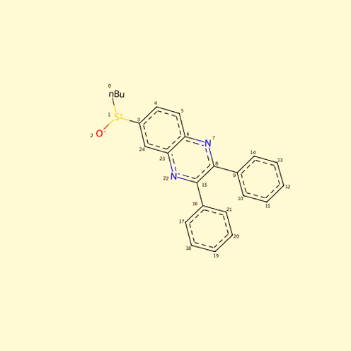 CCCC[S+]([O-])c1ccc2nc(-c3ccccc3)c(-c3ccccc3)nc2c1